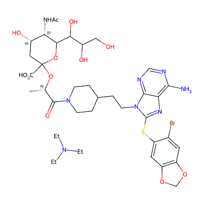 CC(=O)N[C@@H]1C(C(O)C(O)CO)OC(O[C@@H](C)C(=O)N2CCC(CCn3c(Sc4cc5c(cc4Br)OCO5)nc4c(N)ncnc43)CC2)(C(=O)O)C[C@@H]1O.CCN(CC)CC